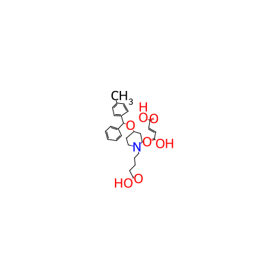 Cc1ccc(C(OC2CCN(CCCCC(=O)O)CC2)c2ccccc2)cc1.O=C(O)C=CC(=O)O